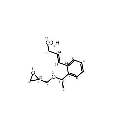 C[C@@H](OC[C@H]1CO1)c1ccccc1C=CCC(=O)O